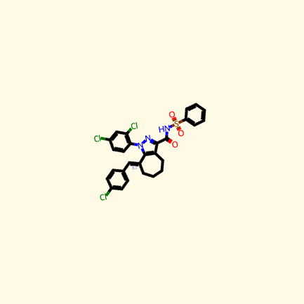 O=C(NS(=O)(=O)c1ccccc1)c1nn(-c2ccc(Cl)cc2Cl)c2c1CCCC/C2=C\c1ccc(Cl)cc1